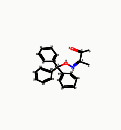 CC(=O)C(C)=NO[Si](c1ccccc1)(c1ccccc1)c1ccccc1